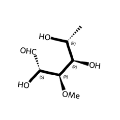 CO[C@H]([C@H](O)[C@@H](C)O)[C@H](O)C=O